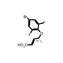 C[C@H](C=CC(=O)O)Oc1c(F)cc(Br)cc1F